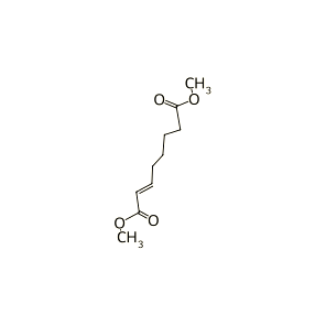 COC(=O)/C=C/CCCCC(=O)OC